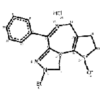 CCN1CN2C(=N1)C(c1ccccc1)=NCC1=C2[S+]([O-])CC1.Cl